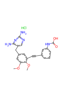 COc1cc(Cc2cnc(N)nc2N)cc(C#Cc2cccc(NC(=O)O)c2)c1OC.Cl